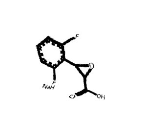 O=C(O)C1OC1c1c(F)cccc1F.[NaH]